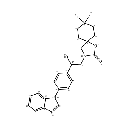 O=C1OC2(CCC(F)(F)CC2)CN1CC(O)c1ccc(-n2cnc3ccccc32)cc1